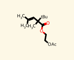 CC(=O)OCCOC(=O)C(C)(C=C(C)C)C(C)(C)C